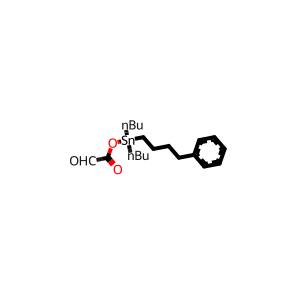 CCC[CH2][Sn]([CH2]CCC)([CH2]CCCc1ccccc1)[O]C(=O)C=O